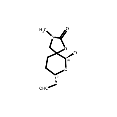 CC[C@H]1O[C@H](CC=O)CCC12CN(C)C(=O)O2